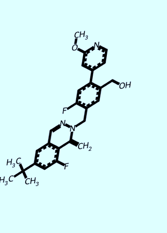 C=C1c2c(F)cc(C(C)(C)C)cc2C=NN1Cc1cc(CO)c(-c2ccnc(OC)c2)cc1F